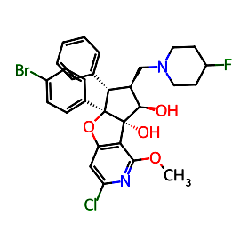 COc1nc(Cl)cc2c1[C@]1(O)[C@H](O)[C@H](CN3CCC(F)CC3)[C@@H](c3ccccc3)[C@]1(c1ccc(Br)cc1)O2